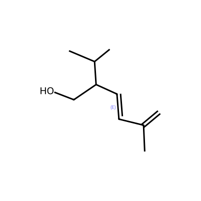 C=C(C)/C=C/C(CO)C(C)C